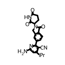 CC(C)c1cc(N)nc(-c2ccc3c(c2)CN(C2CCC(=O)NC2=O)C3=O)c1C#N